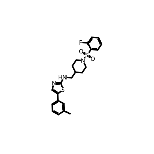 Cc1[c]ccc(-c2cnc(NCC3CCN(S(=O)(=O)c4ccccc4F)CC3)s2)c1